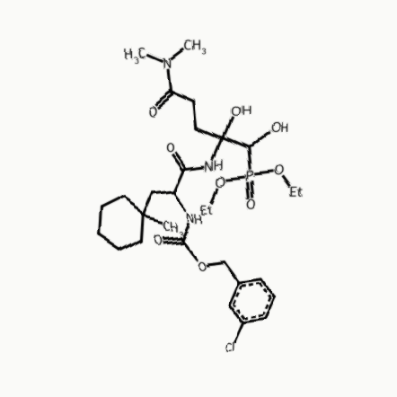 CCOP(=O)(OCC)C(O)C(O)(CCC(=O)N(C)C)NC(=O)C(CC1(C)CCCCC1)NC(=O)OCc1cccc(Cl)c1